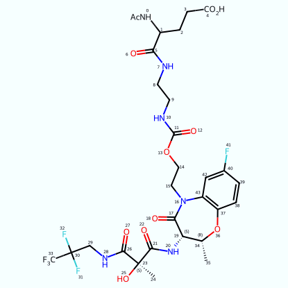 CC(=O)NC(CCC(=O)O)C(=O)NCCNC(=O)OCCN1C(=O)[C@@H](NC(=O)[C@@](C)(O)C(=O)NCC(F)(F)C(F)(F)F)[C@@H](C)Oc2ccc(F)cc21